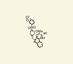 COC(=O)[C@@H](Nc1nc(CN2CCN(S(=O)(=O)c3cccc(OC(F)(F)F)c3)CC2)nc2ccccc12)C(C)C